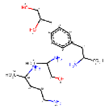 CC(O)CO.NC(CO)C(=O)O.NC(Cc1ccccc1)C(=O)O.NCCCC(N)C(=O)O